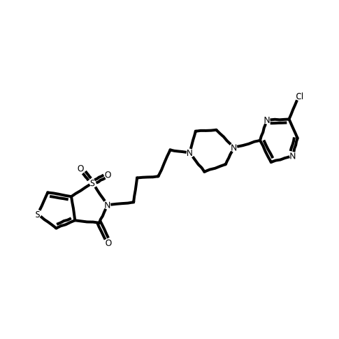 O=C1c2cscc2S(=O)(=O)N1CCCCN1CCN(c2cncc(Cl)n2)CC1